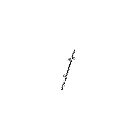 CCCCCCC(=O)NCCCC/C=C/CCCCCC(=O)OCCOCCOCCC